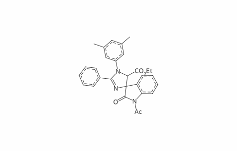 CCOC(=O)C1N(c2cc(C)cc(C)c2)C(c2ccccc2)=NC12C(=O)N(C(C)=O)c1ccccc12